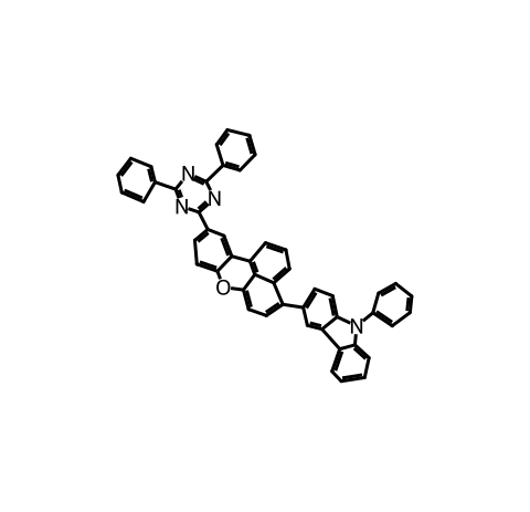 c1ccc(-c2nc(-c3ccccc3)nc(-c3ccc4c(c3)-c3cccc5c(-c6ccc7c(c6)c6ccccc6n7-c6ccccc6)ccc(c35)O4)n2)cc1